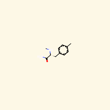 CCN[C@@H](Cc1ccc(C)cc1)C(N)=O